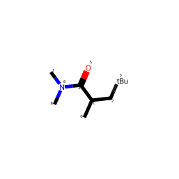 CC(CC(C)(C)C)C(=O)N(C)C